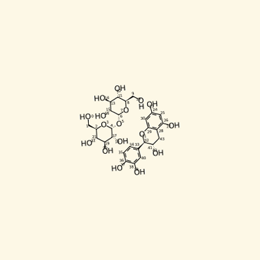 OC[C@H]1O[C@H](O[C@H]2O[C@H](CO)[C@@H](O)[C@H](O)[C@H]2O)[C@H](O)[C@@H](O)[C@@H]1O.Oc1cc(O)c2c(c1)O[C@H](c1ccc(O)c(O)c1)[C@@H](O)C2